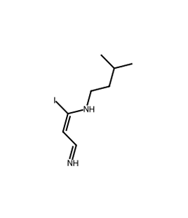 CC(C)CCN/C(I)=C\C=N